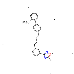 CSc1ccccc1-c1ccc(CC[CH]Cc2cccc(-c3noc(C)n3)c2)cc1